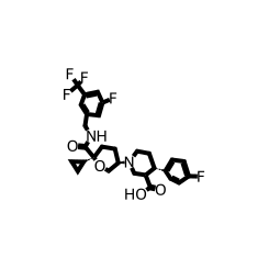 O=C(O)C1CN([C@@H]2CC[C@@](C(=O)NCc3cc(F)cc(C(F)(F)F)c3)(C3CC3)OC2)CC[C@@H]1c1ccc(F)cc1